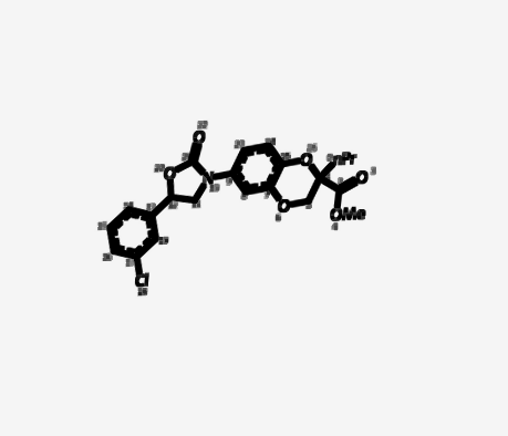 CCCC1(C(=O)OC)COc2cc(N3CC(c4cccc(Cl)c4)OC3=O)ccc2O1